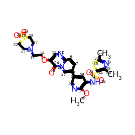 COc1ncc(-c2ccc3ncc(OCCN4CCS(=O)(=O)CC4)c(=O)n3c2)cc1NS(=O)(=O)c1sc(C)nc1C